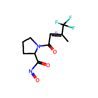 C/C(=C\C(=O)N1CCCC1C(=O)N=O)C(F)(F)F